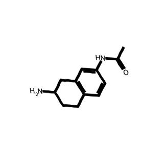 CC(=O)Nc1ccc2c(c1)CC(N)CC2